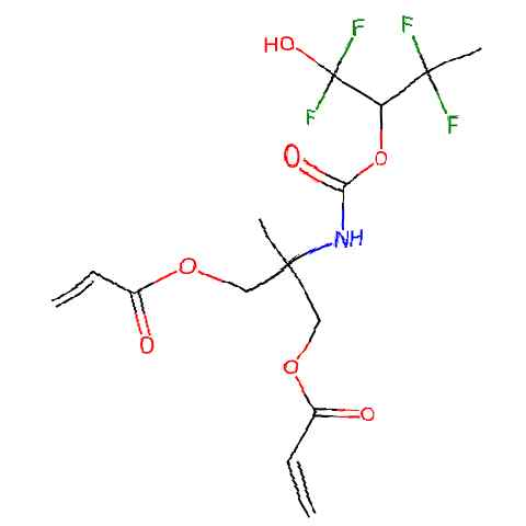 C=CC(=O)OCC(C)(COC(=O)C=C)NC(=O)OC(C(C)(F)F)C(O)(F)F